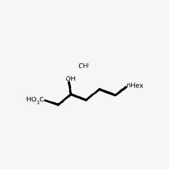 CCCCCCCCCC(O)CC(=O)O.[CH]